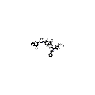 Nc1nc(/C(=N/OC2CCCC2)C(=O)NC2C(=O)N3C(C(=O)O)=C(/C=C/Sc4cc(=O)c5sccc5s4)CS[C@H]23)cs1